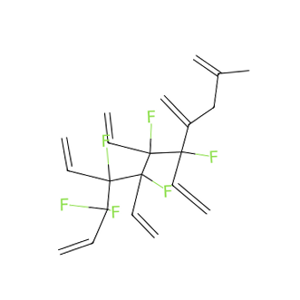 C=CC(F)(F)C(F)(C=C)C(F)(C=C)C(F)(C=C)C(F)(C=C)C(=C)CC(=C)C